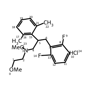 COCCN(CC(Cc1c(F)cccc1F)c1c(C)cccc1C)OC.Cl